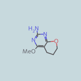 COc1nc(N)nc2c1CCCO2